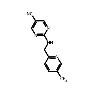 N#Cc1cnc(NCc2ccc(C(F)(F)F)cn2)nc1